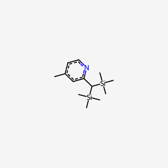 Cc1ccnc(C([Si](C)(C)C)[Si](C)(C)C)c1